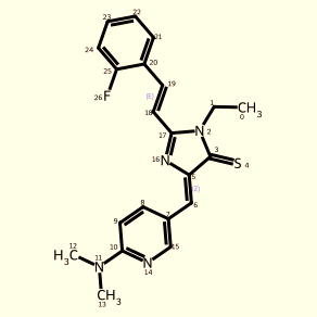 CCN1C(=S)/C(=C/c2ccc(N(C)C)nc2)N=C1/C=C/c1ccccc1F